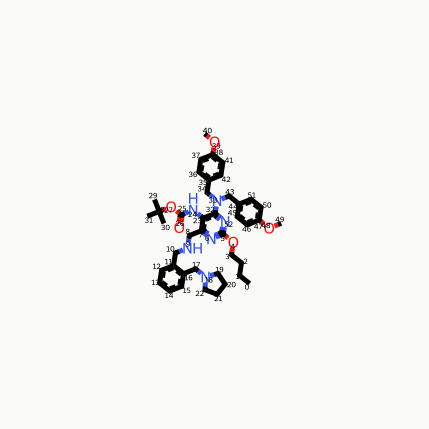 CCCCOc1nc(CNCc2ccccc2CN2CCCC2)c(NC(=O)OC(C)(C)C)c(N(Cc2ccc(OC)cc2)Cc2ccc(OC)cc2)n1